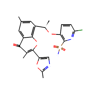 Cc1cc([C@@H](C)Oc2ccc(Cl)nc2S(N)(=O)=O)c2oc(-c3cnc(C)o3)c(C)c(=O)c2c1